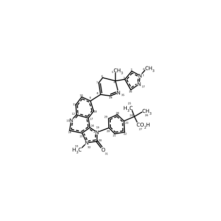 Cn1cc(C2(C)CC=C(c3ccc4ncc5c(c4c3)n(-c3ccc(C(C)(C)C(=O)O)cc3)c(=O)n5C)C=N2)cn1